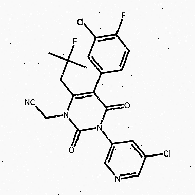 CC(C)(F)Cc1c(-c2ccc(F)c(Cl)c2)c(=O)n(-c2cncc(Cl)c2)c(=O)n1CC#N